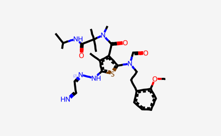 COc1ccccc1CCN(C=O)c1sc(N/N=C\C=N)c(C)c1C(=O)N(C)C(C)(C)C(=O)NC(C)C